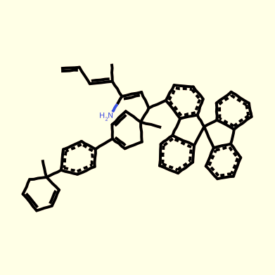 C=C/C=C(C)/C(N)=C/C(c1cccc2c1-c1ccccc1C21c2ccccc2-c2ccccc21)C1(C)C=CC(c2ccc(C3(C)C=CC=CC3)cc2)=CC1